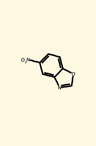 O=[N+]([O-])c1ccc2o[c]nc2c1